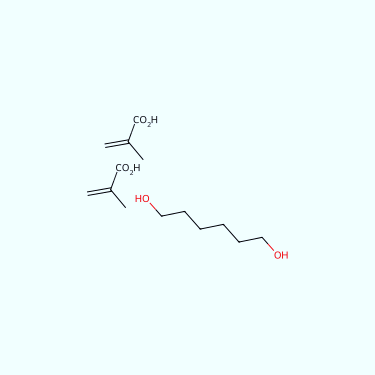 C=C(C)C(=O)O.C=C(C)C(=O)O.OCCCCCCO